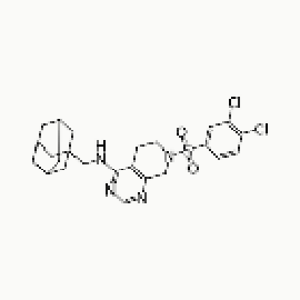 O=S(=O)(c1ccc(Cl)c(Cl)c1)N1CCc2c(ncnc2NCC23CC4CC(CC(C4)C2)C3)C1